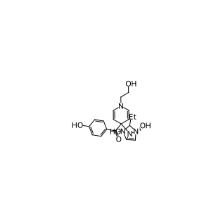 CCC1N(O)C2=C[N+]1(O)N2C1(C(=O)c2ccc(O)cc2)C=CN(CCO)C=C1